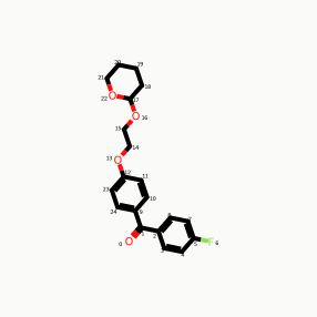 O=C(c1ccc(F)cc1)c1ccc(OCCOC2CCCCO2)cc1